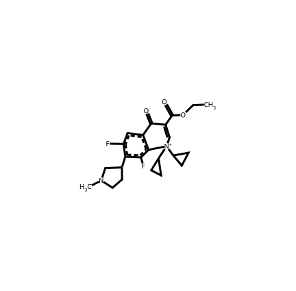 CCOC(=O)C1=C[N+](C2CC2)(C2CC2)c2c(cc(F)c(C3CCN(C)C3)c2F)C1=O